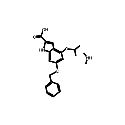 CC(C)Oc1cc(OCc2ccccc2)cc2[nH]c(C(=O)O)cc12.CNC